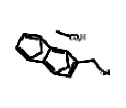 CC(=O)O.OCC1=CC2=C3C4=CC=C(C4)C3=C1C2